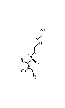 O=C(OCCNCCS)/C(O)=C(/O)CO